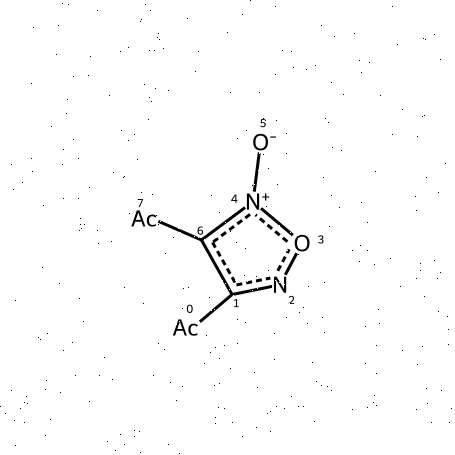 CC(=O)c1no[n+]([O-])c1C(C)=O